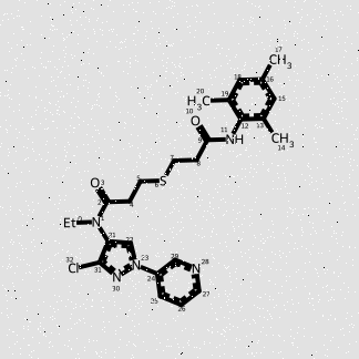 CCN(C(=O)CCSCCC(=O)Nc1c(C)cc(C)cc1C)c1cn(-c2cccnc2)nc1Cl